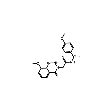 COc1ccc([C@H](C)NC(=O)CN2NNc3c(OC)cccc3C2=O)cc1